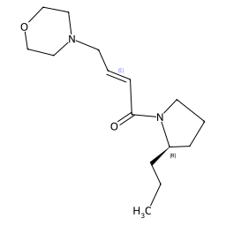 CCC[C@@H]1CCCN1C(=O)/C=C/CN1CCOCC1